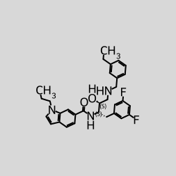 CCCn1ccc2ccc(C(=O)N[C@@H](Cc3cc(F)cc(F)c3)[C@@H](O)CNCc3cccc(CC)c3)cc21